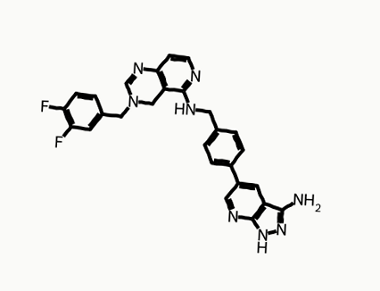 Nc1n[nH]c2ncc(-c3ccc(CNc4nccc5c4CN(Cc4ccc(F)c(F)c4)C=N5)cc3)cc12